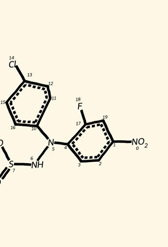 O=[N+]([O-])c1ccc(N(NS(=O)O)c2ccc(Cl)cc2)c(F)c1